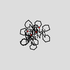 C1CCN(P(=N[PH](N=P(N2CCCCC2)(N2CCCCC2)N2CCCCC2)(N=P(N2CCCCC2)(N2CCCCC2)N2CCCCC2)N=P(N2CCCCC2)(N2CCCCC2)N2CCCCC2)(N2CCCCC2)N2CCCCC2)CC1